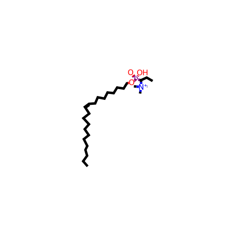 CCCCCCCCCCC/C=C\CCCCCCCCOP(=O)(O)C(CC)[N+](C)(C)C